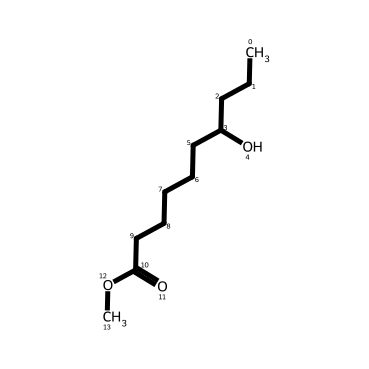 CCCC(O)CCCCCC(=O)OC